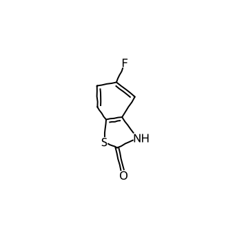 O=c1[nH]c2cc(F)ccc2s1